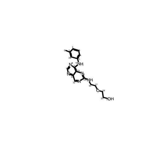 Cc1cccc(Nc2ncnc3cnc(NCCOCCO)nc23)c1